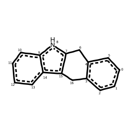 c1ccc2c(c1)Cc1[nH]c3ccccc3c1C2